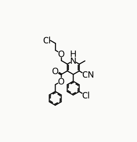 CC1=C(C#N)C(c2cccc(Cl)c2)C(C(=O)OCc2ccccc2)=C(COCCCl)N1